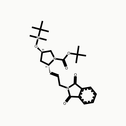 CC(C)(C)OC(=O)N1C[C@H](O[Si](C)(C)C(C)(C)C)C[C@H]1C=CCN1C(=O)c2ccccc2C1=O